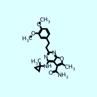 COc1ccc(CCc2nc(NC3(C)CC3)c3c(C(N)=O)c(C)oc3n2)cc1OC